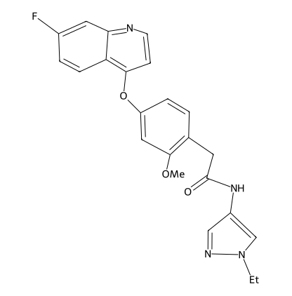 CCn1cc(NC(=O)Cc2ccc(Oc3ccnc4cc(F)ccc34)cc2OC)cn1